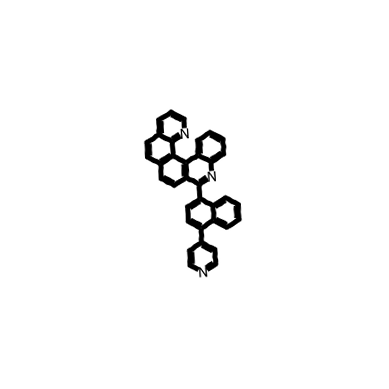 c1cnc2c(c1)ccc1ccc3c(-c4ccc(-c5ccncc5)c5ccccc45)nc4ccccc4c3c12